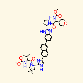 COC(=O)N[C@H](C(=O)N1C[Si](C)(C)C[C@H]1c1nc(-c2ccc3cc(-c4ccc5nc([C@@H]6CCCN6C(=O)[C@@H](NC(=O)OC)C6CCOCC6)[nH]c5c4)ccc3c2)c[nH]1)C(C)C